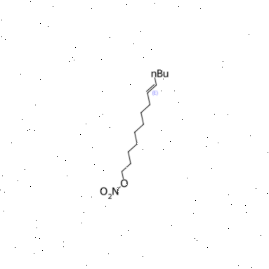 CCCC/C=C/CCCCCCCCO[N+](=O)[O-]